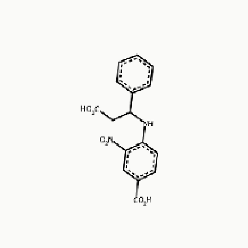 O=C(O)CC(Nc1ccc(C(=O)O)cc1[N+](=O)[O-])c1ccccc1